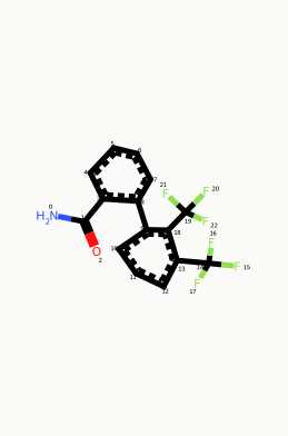 NC(=O)c1ccccc1-c1cccc(C(F)(F)F)c1C(F)(F)F